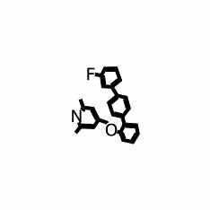 Cc1cc(COc2ccccc2-c2ccc(-c3cccc(F)c3)cc2)cc(C)n1